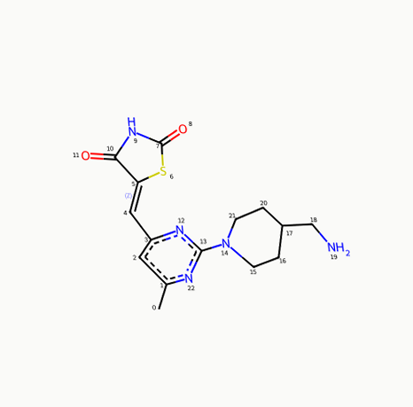 Cc1cc(/C=C2\SC(=O)NC2=O)nc(N2CCC(CN)CC2)n1